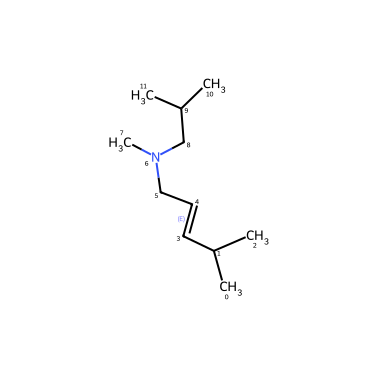 CC(C)/C=C/CN(C)CC(C)C